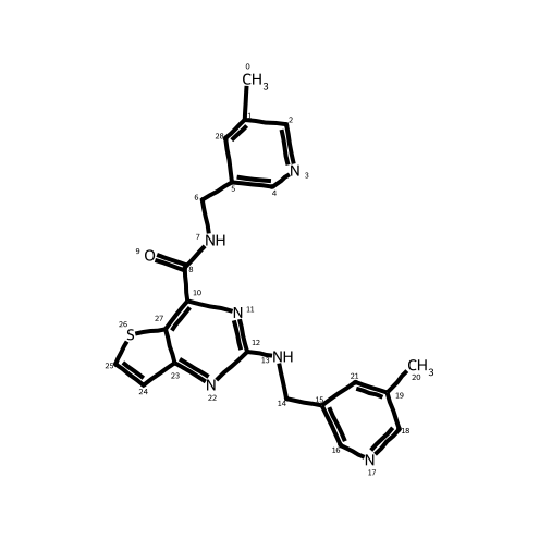 Cc1cncc(CNC(=O)c2nc(NCc3cncc(C)c3)nc3ccsc23)c1